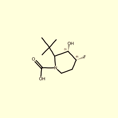 CC(C)(C)C1[C@H](O)[C@H](F)CCN1C(=O)O